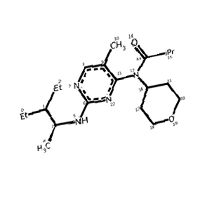 CCC(CC)[C@H](C)Nc1ncc(C)c(N(C(=O)C(C)C)C2CCOCC2)n1